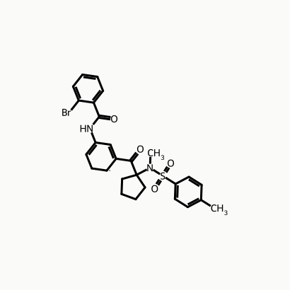 Cc1ccc(S(=O)(=O)N(C)C2(C(=O)C3=CC(NC(=O)c4ccccc4Br)=CC[CH]3)CCCC2)cc1